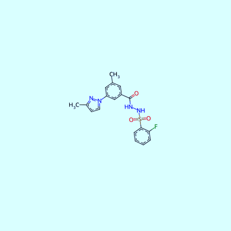 Cc1cc(C(=O)NNS(=O)(=O)c2ccccc2F)cc(-n2ccc(C)n2)c1